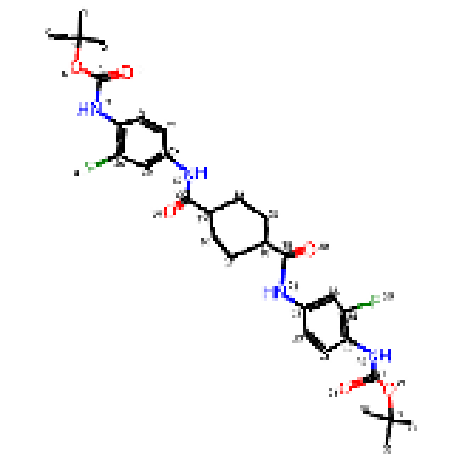 CC(C)(C)OC(=O)Nc1ccc(NC(=O)C2CCC(C(=O)Nc3ccc(NC(=O)OC(C)(C)C)c(F)c3)CC2)cc1F